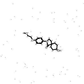 COCCOc1ccc(N2CCC3(CCC(O)CC3)C2=O)cc1